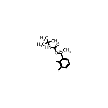 C[C@@H](OC(=O)NC(C)(C)C)c1cccc(I)c1F